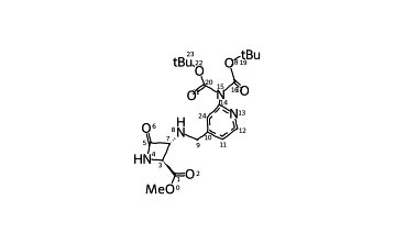 COC(=O)[C@H]1NC(=O)[C@@H]1NCc1ccnc(N(C(=O)OC(C)(C)C)C(=O)OC(C)(C)C)c1